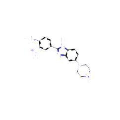 CN1CCN(c2ccc3[nH]c(-c4ccc(N)c([N+](=O)[O-])c4)nc3c2)CC1